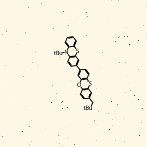 CC(C)(C)Cc1ccc2c(c1)Sc1ccc(-c3ccc4c(c3)Sc3ccccc3N4C(C)(C)C)cc1O2